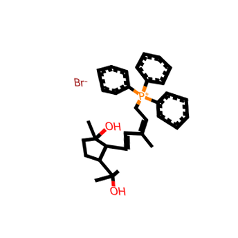 CC(C=CC1C(C(C)(C)O)CCC1(C)O)=CC[P+](c1ccccc1)(c1ccccc1)c1ccccc1.[Br-]